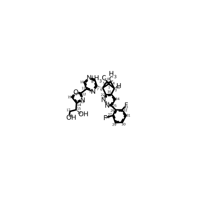 CC1(C)[C@H]2CC[C@]1(c1cncc(-c3nc([C@H](O)CO)co3)n1)c1nnc(-c3c(F)cccc3F)cc12